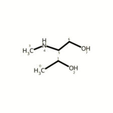 CCO.CNCCO